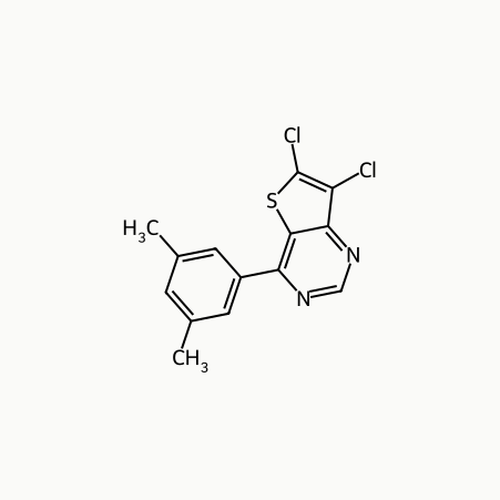 Cc1cc(C)cc(-c2ncnc3c(Cl)c(Cl)sc23)c1